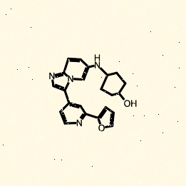 OC1CCC(Nc2ccc3ncc(-c4ccnc(-c5ccco5)c4)n3c2)CC1